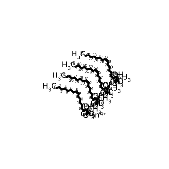 CCCCCCCC/C=C\CCCCCC(C)C(C)(O)C(=O)[O-].CCCCCCCC/C=C\CCCCCC(C)C(C)(O)C(=O)[O-].CCCCCCCC/C=C\CCCCCC(C)C(C)(O)C(=O)[O-].CCCCCCCC/C=C\CCCCCC(C)C(C)(O)C(=O)[O-].[Sn+4]